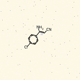 N#C/C=C(\N)c1ccc(Cl)cc1